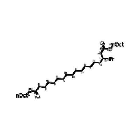 CCCCCCCCOC(=O)CCCCCCCCCCCCCCC(CC(=O)OCCCCCCCC)C(C)C